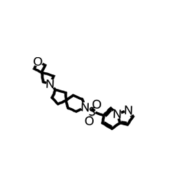 O=S(=O)(c1ccc2ccnn2c1)N1CCC2(CCC(N3CC4(COC4)C3)C2)CC1